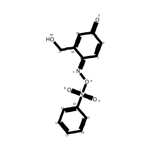 O=C1C=CC(=NOS(=O)(=O)c2ccccc2)C(CO)=C1